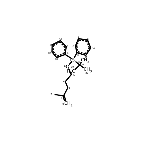 C=C(I)CCCO[Si](c1ccccc1)(c1ccccc1)C(C)(C)C